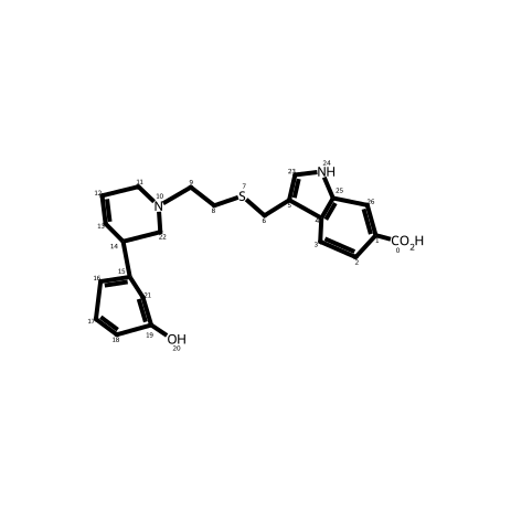 O=C(O)c1ccc2c(CSCCN3CC=CC(c4cccc(O)c4)C3)c[nH]c2c1